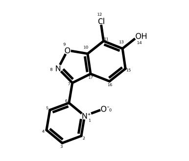 [O-][n+]1ccccc1-c1noc2c(Cl)c(O)ccc12